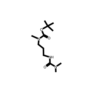 CN(C)C(=O)NCCCN(C)C(=O)OC(C)(C)C